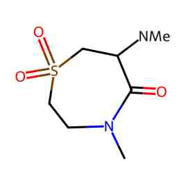 CNC1CS(=O)(=O)CCN(C)C1=O